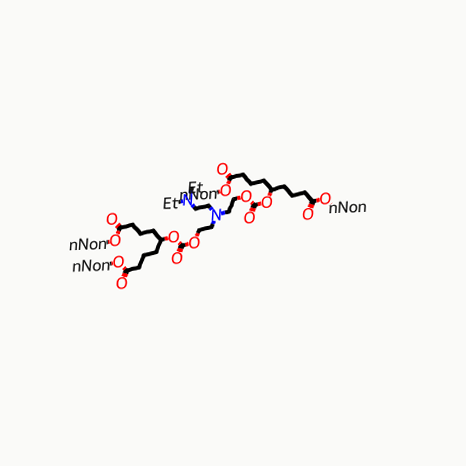 CCCCCCCCCOC(=O)CCCC(CCCC(=O)OCCCCCCCCC)OC(=O)OCCN(CCOC(=O)OC(CCCC(=O)OCCCCCCCCC)CCCC(=O)OCCCCCCCCC)CCN(CC)CC